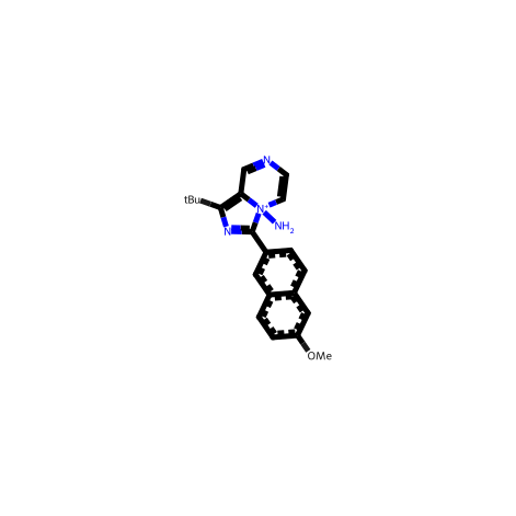 COc1ccc2cc(C3=NC(C(C)(C)C)=C4C=NC=C[N+]34N)ccc2c1